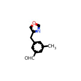 Cc1cc(C=O)cc(Cc2cocn2)c1